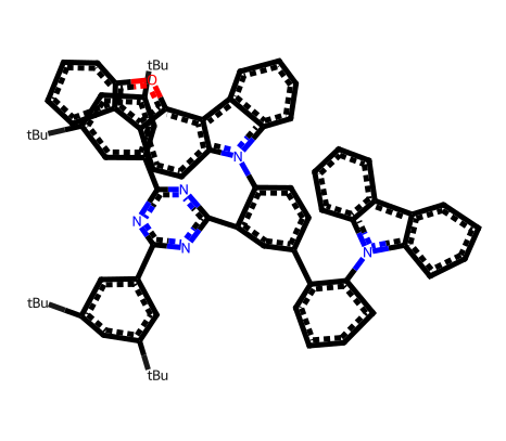 CC(C)(C)c1cc(-c2nc(-c3cc(C(C)(C)C)cc(C(C)(C)C)c3)nc(-c3cc(-c4ccccc4-n4c5ccccc5c5ccccc54)ccc3-n3c4ccccc4c4c5oc6ccccc6c5ccc43)n2)cc(C(C)(C)C)c1